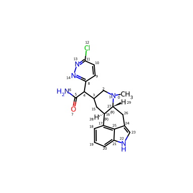 CN1CC(C(C(N)=O)c2ccc(Cl)nn2)C[C@@H]2c3cccc4[nH]cc(c34)C[C@H]21